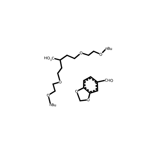 CCCCOCCOCCC(CCOCCOCCCC)C(=O)O.O=Cc1ccc2c(c1)OCO2